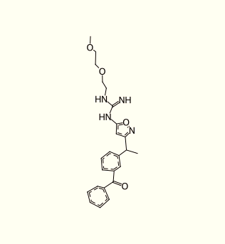 COCCOCCNC(=N)Nc1cc(C(C)c2cccc(C(=O)c3ccccc3)c2)no1